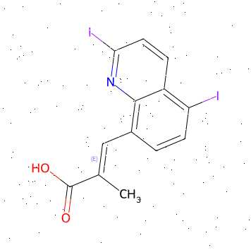 C/C(=C\c1ccc(I)c2ccc(I)nc12)C(=O)O